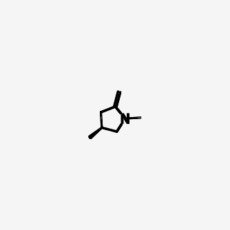 C=C1C[C@H](C)CN1C